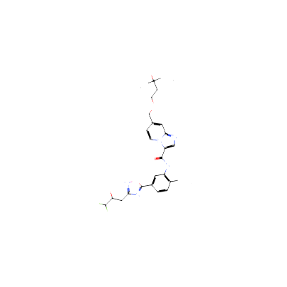 Cc1ccc(-c2nc(CC(O)C(F)F)no2)cc1NC(=O)c1cnc2cc(COCCC(C)(C)O)ccn12